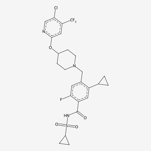 O=C(NS(=O)(=O)C1CC1)c1cc(C2CC2)c(CN2CCC(Oc3cc(C(F)(F)F)c(Cl)cn3)CC2)cc1F